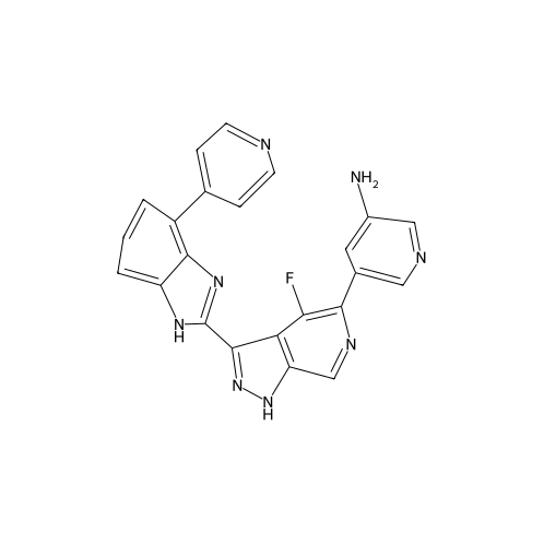 Nc1cncc(-c2ncc3[nH]nc(-c4nc5c(-c6ccncc6)cccc5[nH]4)c3c2F)c1